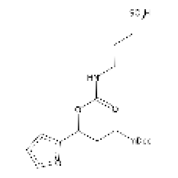 CCCCCCCCCCCCC(OC(=O)NCCCS(=O)(=O)O)c1ccco1